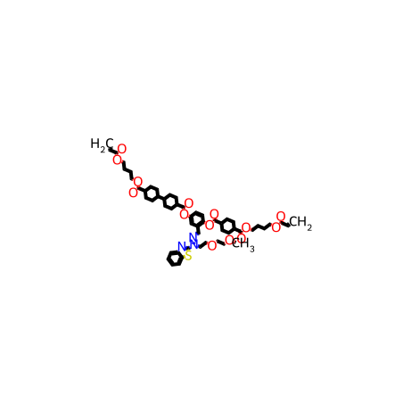 C=CC(=O)OCCCCOC(=O)C1CCC(C(=O)Oc2ccc(OC(=O)C3CCC(C4CCC(C(=O)OCCCCOC(=O)C=C)CC4)CC3)cc2/C=N/N(CCOCCOC)c2nc3ccccc3s2)CC1